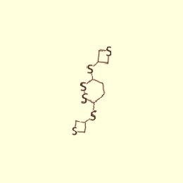 C1SCC1SC1CCC(SC2CSC2)SS1